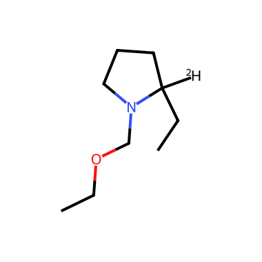 [2H]C1(CC)CCCN1COCC